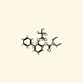 CCN(CC)C(=O)Oc1cccc(-c2ccccc2)c1OC(=O)C(C)(C)C